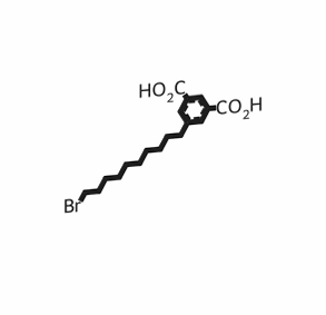 O=C(O)c1cc(CCCCCCCCCCBr)cc(C(=O)O)c1